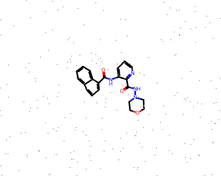 O=C(NN1CCOCC1)c1ncccc1NC(=O)c1cccc2ccccc12